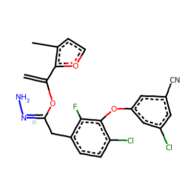 C=C(O/C(Cc1ccc(Cl)c(Oc2cc(Cl)cc(C#N)c2)c1F)=N\N)c1occc1C